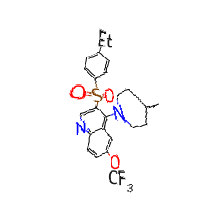 CCc1ccc(S(=O)(=O)c2cnc3ccc(OC(F)(F)F)cc3c2N2CCC(C)CC2)cc1